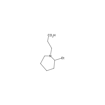 CCC1CCCCN1CCC(=O)O